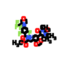 COC(=O)[C@H](Cc1ccc(-c2c(C)n(C)c(=O)n(C)c2=O)c2c1OCCO2)NC(=O)c1c(F)cc(N2CCOC[C@@H]2C(F)(F)F)cc1F